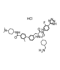 Cc1cc(C(=O)NC2CCC(N(C)C)CC2)ccc1-c1cccc(C[C@H](NC(=O)[C@H]2CC[C@H](CN)CC2)C(=O)Nc2ccc(-c3nnn[nH]3)c(F)c2)c1.Cl